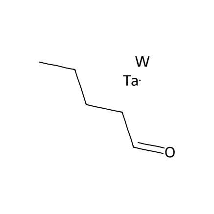 CCCCC=O.[Ta].[W]